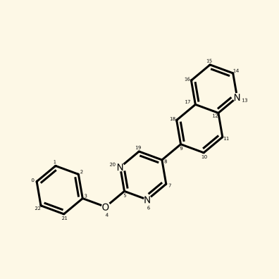 c1ccc(Oc2ncc(-c3ccc4ncccc4c3)cn2)cc1